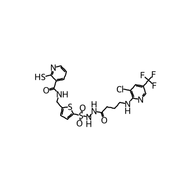 O=C(CCCNc1ncc(C(F)(F)F)cc1Cl)NNS(=O)(=O)c1ccc(CNC(=O)c2cccnc2S)s1